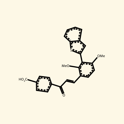 COc1ccc(C=CC(=O)c2ccc(C(=O)O)cc2)c(OC)c1-c1cc2ccccc2s1